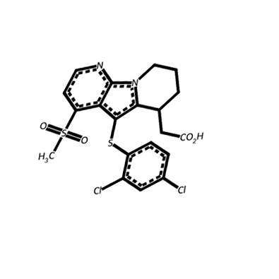 CS(=O)(=O)c1ccnc2c1c(Sc1ccc(Cl)cc1Cl)c1n2CCCC1CC(=O)O